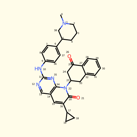 CN1CCCC(c2ccc(Nc3ncc4cc(C5CC5)c(=O)n(C5CC(=O)c6ccccc6C5)c4n3)cc2)C1